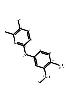 CNc1cc(Oc2ccc(C)c(C)n2)ccc1N